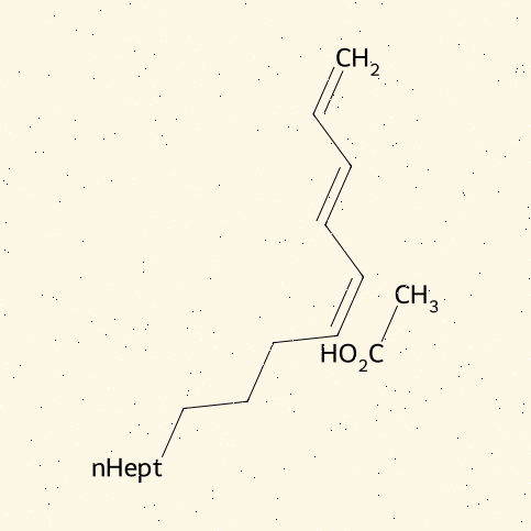 C=C/C=C/C=C\CCCCCCCCCC.CC(=O)O